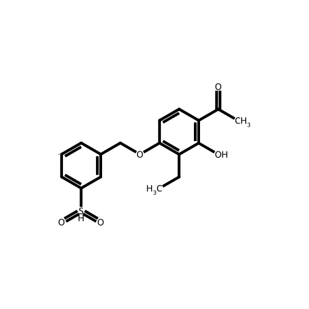 CCc1c(OCc2c[c]cc([SH](=O)=O)c2)ccc(C(C)=O)c1O